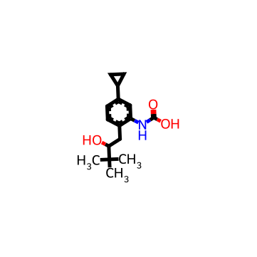 CC(C)(C)C(O)Cc1ccc(C2CC2)cc1NC(=O)O